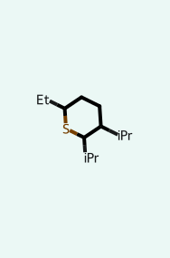 CCC1CCC(C(C)C)C(C(C)C)S1